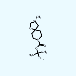 C[C@H]1COC2(CCN(C(=O)OC(C)(C)C)CC2)C1